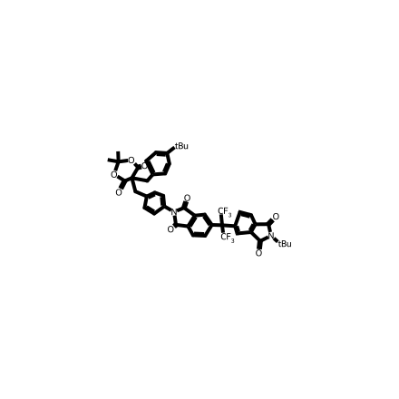 CC1(C)OC(=O)C(Cc2ccc(N3C(=O)c4ccc(C(c5ccc6c(c5)C(=O)N(C(C)(C)C)C6=O)(C(F)(F)F)C(F)(F)F)cc4C3=O)cc2)(Cc2ccc(C(C)(C)C)cc2)C(=O)O1